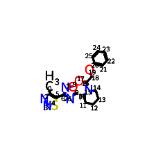 Cc1nnsc1-c1noc([C@H]2CCCCN2C(=O)COc2ccccc2)n1